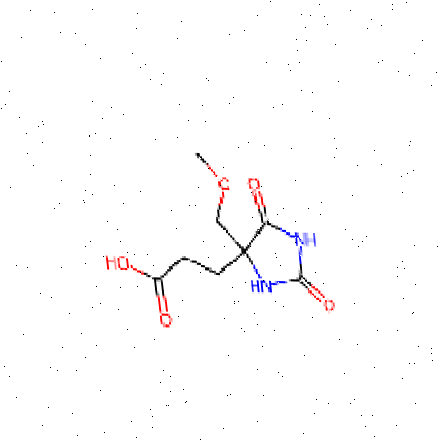 COCC1(CCC(=O)O)NC(=O)NC1=O